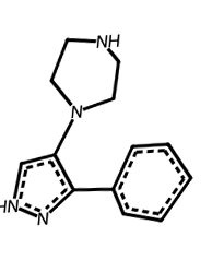 c1ccc(-c2n[nH]cc2N2CCNCC2)cc1